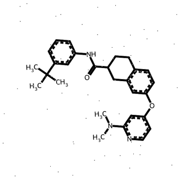 CN(C)c1cc(Oc2ccc3c(c2)CC(C(=O)Nc2cccc(C(C)(C)C)c2)CC3)ccn1